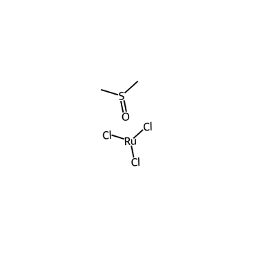 CS(C)=O.[Cl][Ru]([Cl])[Cl]